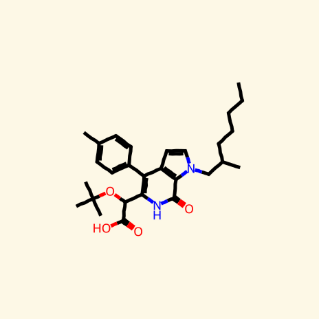 CCCCCC(C)Cn1ccc2c(-c3ccc(C)cc3)c(C(OC(C)(C)C)C(=O)O)[nH]c(=O)c21